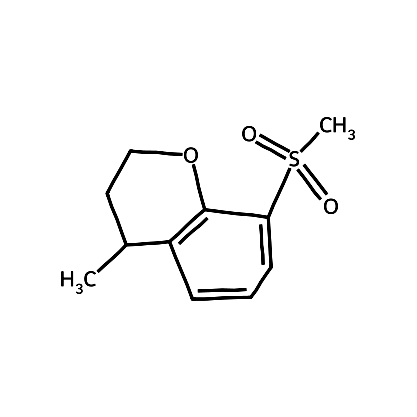 CC1CCOc2c1cccc2S(C)(=O)=O